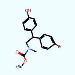 CN(CC(c1ccc(O)cc1)c1ccc(Br)cc1)C(=O)OC(C)(C)C